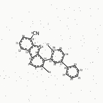 Cc1ccc2c(sc3c(C#N)cccc32)c1-c1cc(-c2ccccc2)cc[n+]1C